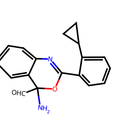 NC1(C=O)OC(c2ccccc2C2CC2)=Nc2ccccc21